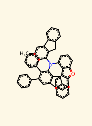 Cc1cc2c(c(N(c3c4c(cc(-c5ccccc5)c3-c3ccccc3)-c3ccccc3C4)c3cccc4oc5ccccc5c34)c1C)Cc1ccccc1-2